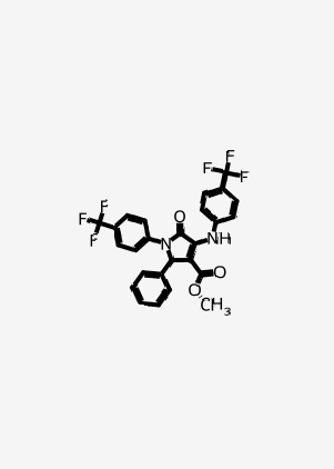 COC(=O)C1=C(Nc2ccc(C(F)(F)F)cc2)C(=O)N(c2ccc(C(F)(F)F)cc2)C1c1ccccc1